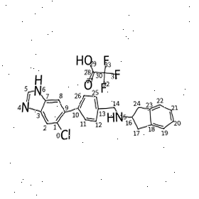 Clc1cc2nc[nH]c2cc1-c1ccc(CNC2Cc3ccccc3C2)cc1.O=C(O)C(F)(F)F